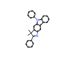 CC1(C)C(c2ccccc2)=Nc2cc3c4ccccc4n(-c4ccccc4)c3cc21